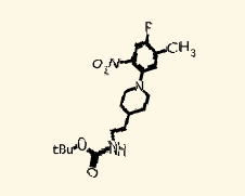 Cc1cc(N2CCC(CCNC(=O)OC(C)(C)C)CC2)c([N+](=O)[O-])cc1F